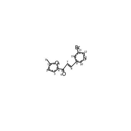 Cc1ccc(C(=O)C=Cc2cncc(Br)c2)o1